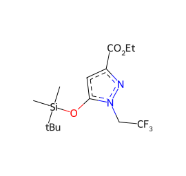 CCOC(=O)c1cc(O[Si](C)(C)C(C)(C)C)n(CC(F)(F)F)n1